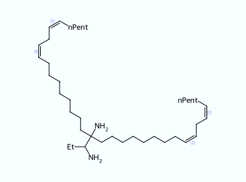 CCCCC/C=C\C/C=C\CCCCCCCCC(N)(CCCCCCCC/C=C\C/C=C\CCCCC)C(N)CC